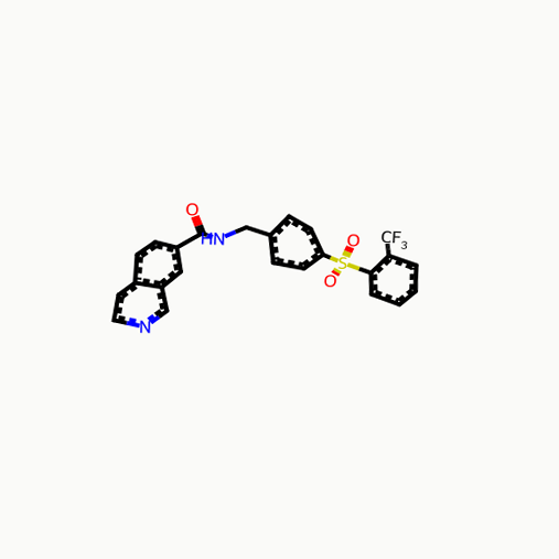 O=C(NCc1ccc(S(=O)(=O)c2ccccc2C(F)(F)F)cc1)c1ccc2ccncc2c1